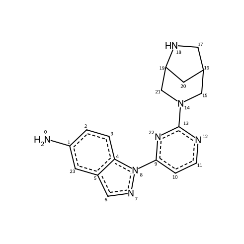 Nc1ccc2c(cnn2-c2ccnc(N3CC4CNC(C4)C3)n2)c1